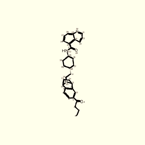 CCCC(=O)c1ccc2c(c1)C1CCC2N1CC[C@H]1CC[C@H](NC(=O)c2cccc3ncccc23)CC1